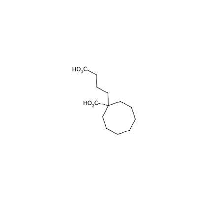 O=C(O)CCCC1(C(=O)O)CCCCCCC1